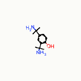 CC(C)(N)c1ccc(O)c(C(C)(C)N)c1